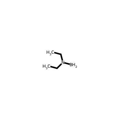 BN(CC)CC